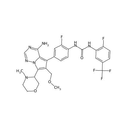 COCc1c(-c2ccc(NC(=O)Nc3cc(C(F)(F)F)ccc3F)c(F)c2)c2c(N)ncnn2c1C1COCCN1C